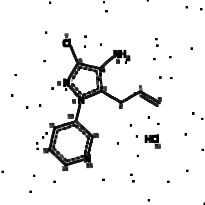 C=CCc1c(N)c(Cl)nn1-c1cccnc1.Cl